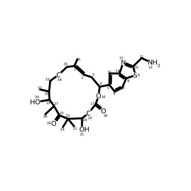 C/C1=C\CC(c2ccc3sc(CN)nc3c2)OC(=O)CC(O)C(C)(C)C(=O)C(C)C(O)C(C)CCC1